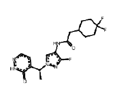 C[C@@H](c1ccn[nH]c1=O)n1cc(NC(=O)CC2CCC(F)(F)CC2)c(F)n1